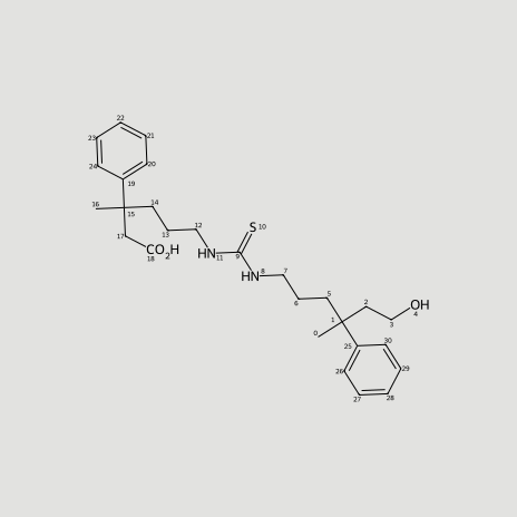 CC(CCO)(CCCNC(=S)NCCCC(C)(CC(=O)O)c1ccccc1)c1ccccc1